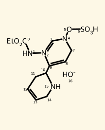 CCOC(=O)N[N+]1=CN(OS(=O)(=O)O)CC=C1C1CC=CCN1.[OH-]